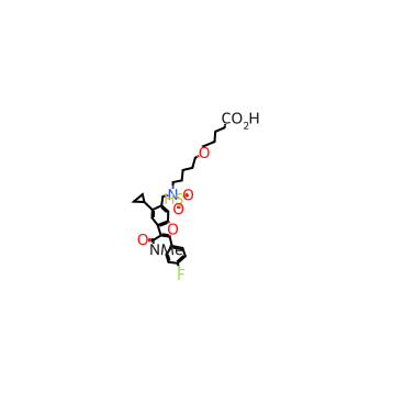 CNC(=O)c1c(-c2ccc(F)cc2)oc2cc(CN(CCCCCOCCCCC(=O)O)[SH](=O)=O)c(C3CC3)cc12